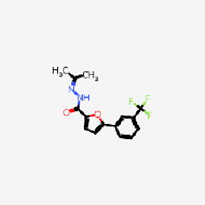 CC(C)=NNC(=O)c1ccc(-c2cccc(C(F)(F)F)c2)o1